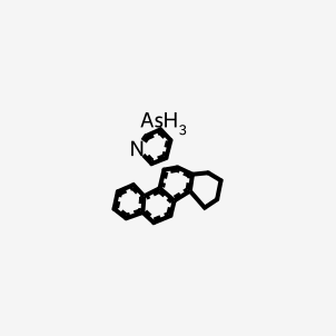 [AsH3].c1ccc2c(c1)ccc1c3c(ccc12)CCCC3.c1ccncc1